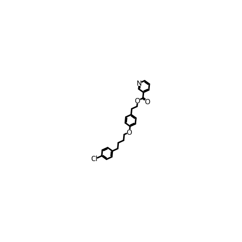 O=C(OCCc1ccc(OCCCCc2ccc(Cl)cc2)cc1)c1cccnc1